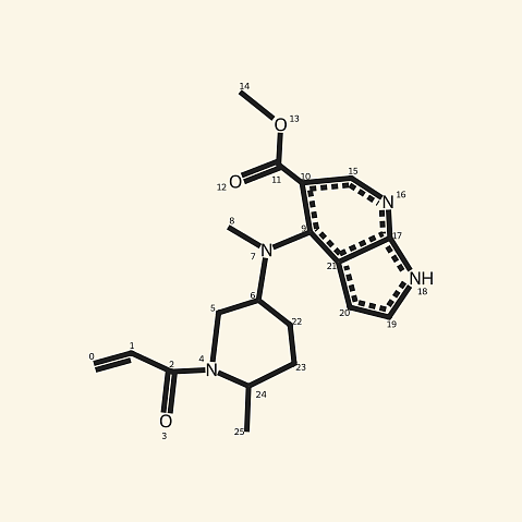 C=CC(=O)N1CC(N(C)c2c(C(=O)OC)cnc3[nH]ccc23)CCC1C